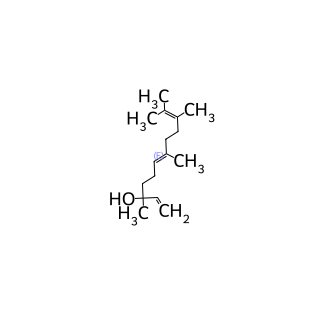 C=CC(C)(O)CC/C=C(\C)CCC(C)=C(C)C